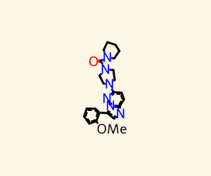 COc1ccccc1-c1cnc2ccc(N3CCN(C(=O)N4CCCCC4)CC3)nn12